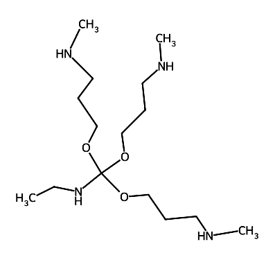 CCNC(OCCCNC)(OCCCNC)OCCCNC